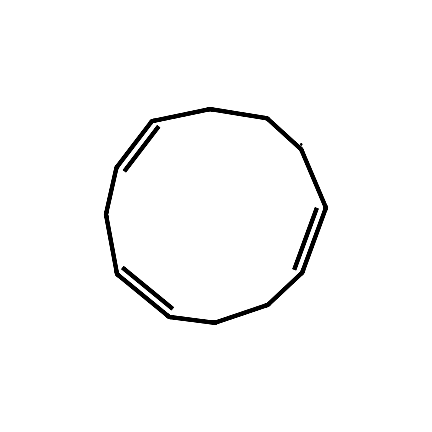 [CH]1C=CCCC=CCC=CCC1